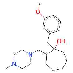 COc1cccc(CC2(O)CCCCCC2CN2CCN(C)CC2)c1